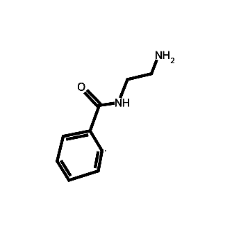 NCCNC(=O)c1[c]cccc1